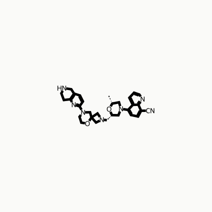 C[C@@H]1CN(c2ccc(C#N)c3ncccc23)C[C@H](CN2CC3(C2)CN(c2ccc4c(n2)CCNC4)CCO3)O1